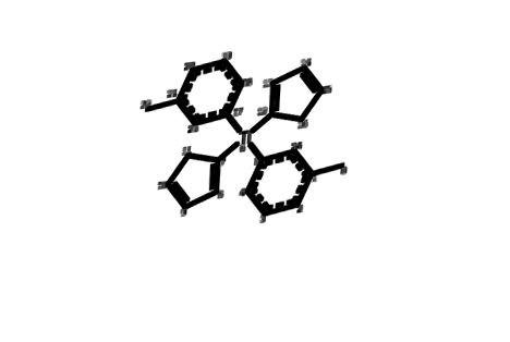 Cc1ccc[c]([Ti]([C]2=CC=CC2)([C]2=CC=CC2)[c]2cccc(C)c2)c1